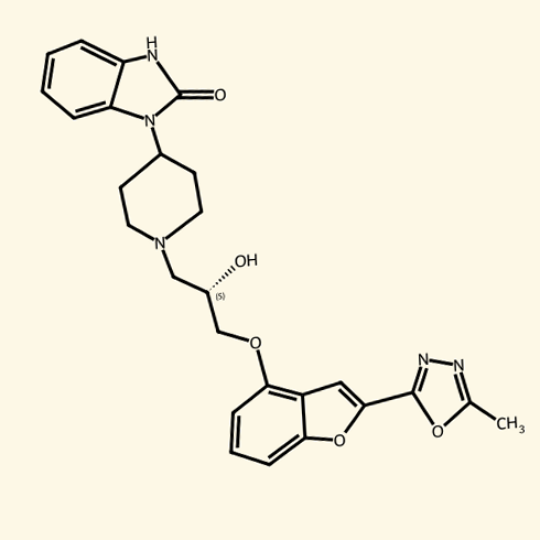 Cc1nnc(-c2cc3c(OC[C@@H](O)CN4CCC(n5c(=O)[nH]c6ccccc65)CC4)cccc3o2)o1